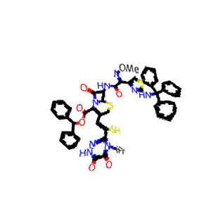 CON=C(C(=O)NC1C(=O)N2C(C(=O)OC(c3ccccc3)c3ccccc3)=C(C=C(S)c3n[nH]c(=O)c(=O)n3C(C)C)CSC12)c1csc(NC(c2ccccc2)(c2ccccc2)c2ccccc2)n1